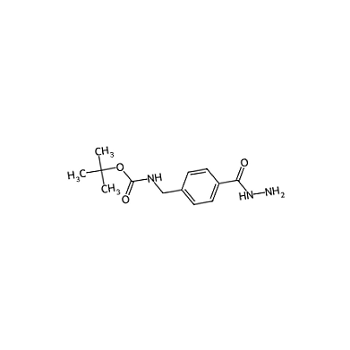 CC(C)(C)OC(=O)NCc1ccc(C(=O)NN)cc1